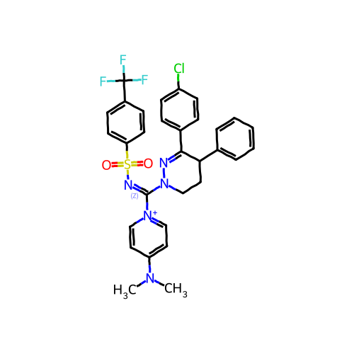 CN(C)c1cc[n+](/C(=N/S(=O)(=O)c2ccc(C(F)(F)F)cc2)N2CCC(c3ccccc3)C(c3ccc(Cl)cc3)=N2)cc1